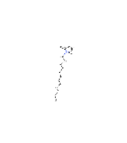 CCCCCCCCCCCCn1cccc1C